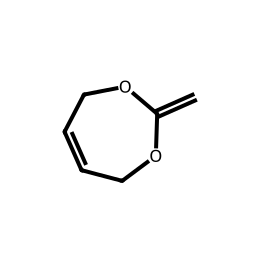 C=C1OCC=CCO1